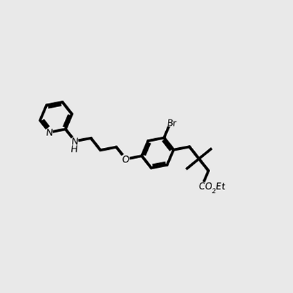 CCOC(=O)CC(C)(C)Cc1ccc(OCCCNc2ccccn2)cc1Br